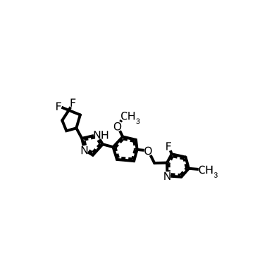 COc1cc(OCc2ncc(C)cc2F)ccc1-c1cnc(C2CCC(F)(F)C2)[nH]1